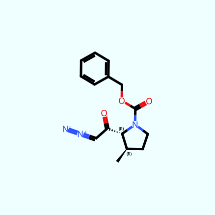 C[C@@H]1CCN(C(=O)OCc2ccccc2)[C@H]1C(=O)C=[N+]=[N-]